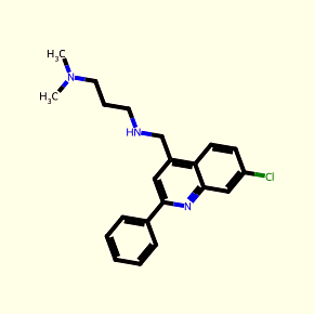 CN(C)CCCNCc1cc(-c2ccccc2)nc2cc(Cl)ccc12